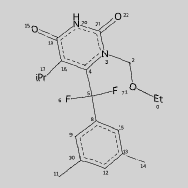 CCOCn1c(C(F)(F)c2cc(C)cc(C)c2)c(C(C)C)c(=O)[nH]c1=O